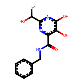 CCCC(O)c1nc(O)c(O)c(C(=O)NCc2ccccc2)n1